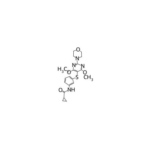 COc1nc(N2CCOCC2)nc(OC)c1Sc1cccc(NC(=O)C2CC2)c1